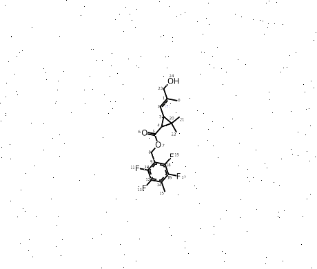 C/C(=C\C1C(C(=O)OCc2c(F)c(F)c(C)c(F)c2F)C1(C)C)CO